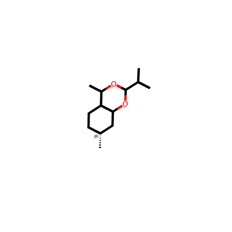 CC(C)C1OC(C)C2CC[C@@H](C)CC2O1